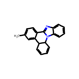 Cc1ccc2c(c1)C1C=CC=CC1n1c-2nc2ccccc21